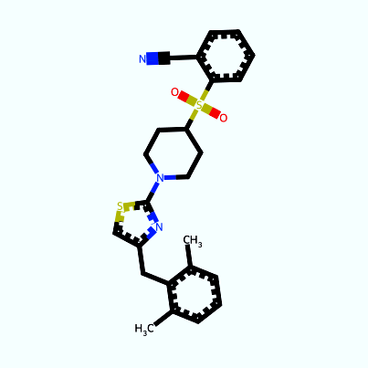 Cc1cccc(C)c1Cc1csc(N2CCC(S(=O)(=O)c3ccccc3C#N)CC2)n1